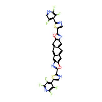 Fc1cnc(F)c(F)c1-c1ncc(-c2nc3cc4cc5cc6oc(-c7ncc(-c8c(F)c(F)nc(F)c8F)s7)nc6cc5cc4cc3o2)s1